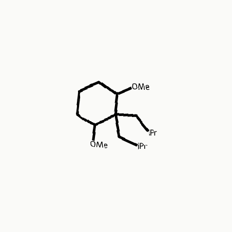 COC1CCCC(OC)C1(CC(C)C)CC(C)C